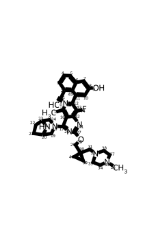 C#Cc1cccc2cc(O)cc(-c3nc(C)c4c(N5CC6CCC(C5)N6)nc(OCC5(CN6CCN(C)CC6)CC5)nc4c3F)c12